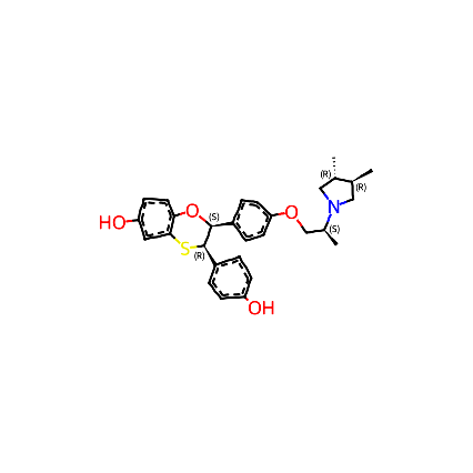 C[C@H]1CN([C@@H](C)COc2ccc([C@@H]3Oc4ccc(O)cc4S[C@@H]3c3ccc(O)cc3)cc2)C[C@@H]1C